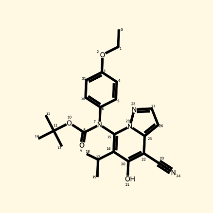 CCOc1ccc(N(C(=O)OC(C)(C)C)c2c(C(C)C)c(O)c(C#N)c3ccnn23)cc1